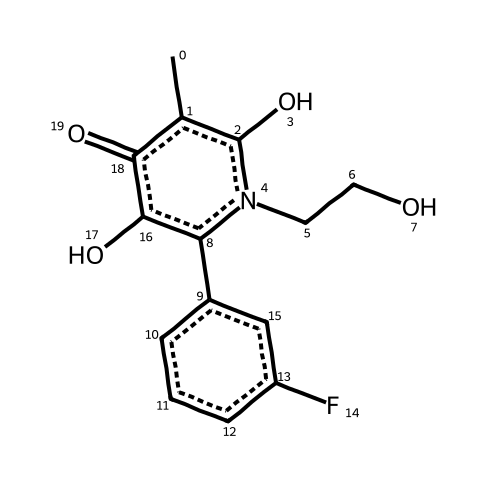 Cc1c(O)n(CCO)c(-c2cccc(F)c2)c(O)c1=O